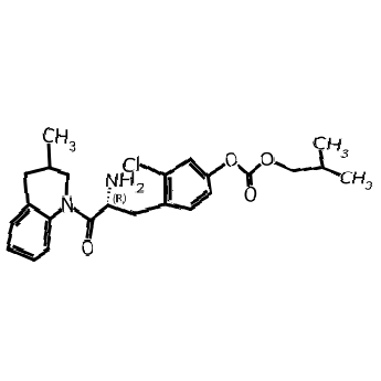 CC(C)COC(=O)Oc1ccc(C[C@@H](N)C(=O)N2CC(C)Cc3ccccc32)c(Cl)c1